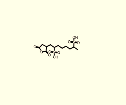 CC(CCCCC(CC1CC(=O)OC1=O)S(=O)(=O)O)S(=O)(=O)O